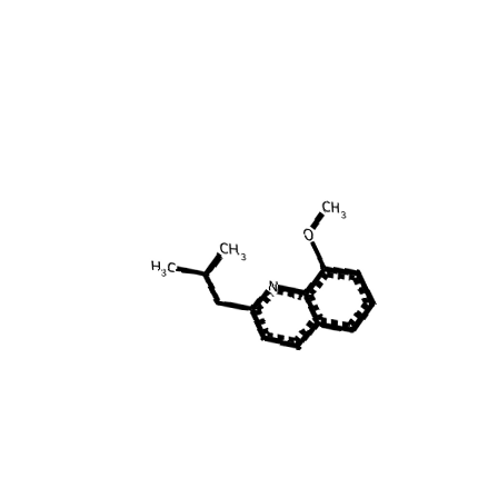 COc1cccc2ccc(CC(C)C)nc12